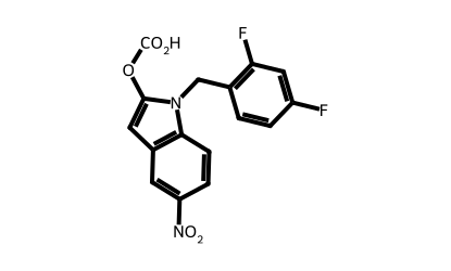 O=C(O)Oc1cc2cc([N+](=O)[O-])ccc2n1Cc1ccc(F)cc1F